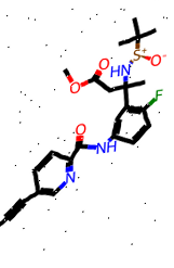 CC#Cc1ccc(C(=O)Nc2ccc(F)c(C(C)(CC(=O)OC)N[S@+]([O-])C(C)(C)C)c2)nc1